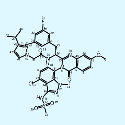 COc1ccc2c(=O)n(-c3ccc(Cl)c4c(NS(C)(=O)=O)nn(C)c34)c([C@H](Cc3cc(F)cc(F)c3)NC(=O)Cn3ccc(C(C)C)n3)nc2c1